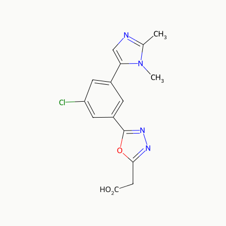 Cc1ncc(-c2cc(Cl)cc(-c3nnc(CC(=O)O)o3)c2)n1C